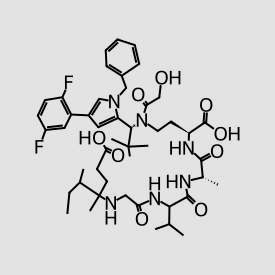 CCC(C)C(C)(CCC(=O)O)NCC(=O)NC(C(=O)N[C@@H](C)C(=O)N[C@@H](CCN(C(=O)CO)[C@@H](c1cc(-c2cc(F)ccc2F)cn1Cc1ccccc1)C(C)(C)C)C(=O)O)C(C)C